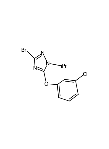 CC(C)n1nc(Br)nc1Oc1cccc(Cl)c1